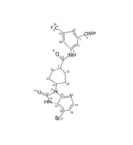 COc1cc(NC(=O)C2CCC(n3c(=O)[nH]c4c(Br)cccc43)CC2)cc(C(F)(F)F)c1